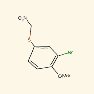 COc1ccc(SC[N+](=O)[O-])cc1Br